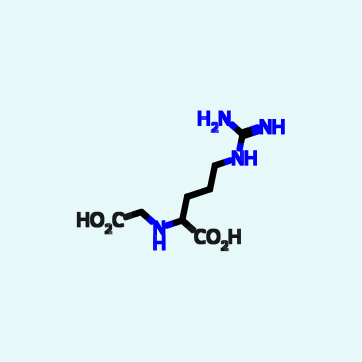 N=C(N)NCCCC(NCC(=O)O)C(=O)O